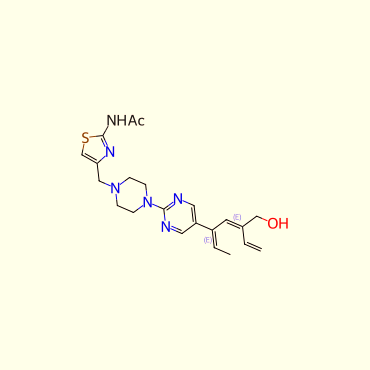 C=C/C(=C\C(=C/C)c1cnc(N2CCN(Cc3csc(NC(C)=O)n3)CC2)nc1)CO